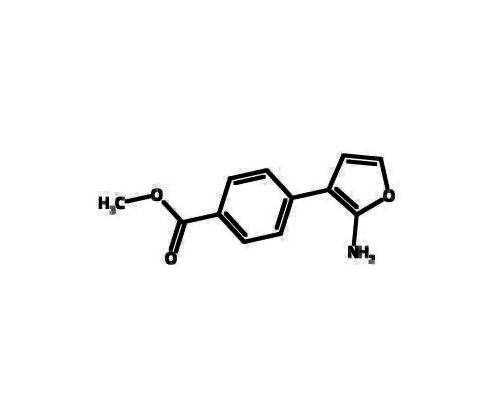 COC(=O)c1ccc(-c2ccoc2N)cc1